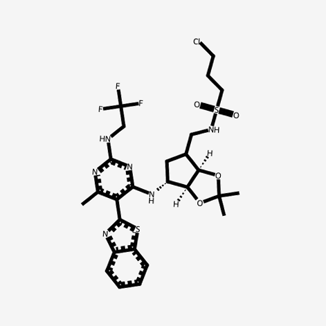 Cc1nc(NCC(F)(F)F)nc(N[C@@H]2CC(CNS(=O)(=O)CCCCl)[C@H]3OC(C)(C)O[C@H]32)c1-c1nc2ccccc2s1